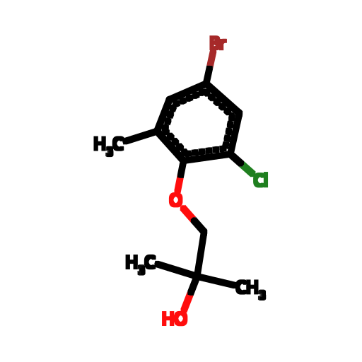 Cc1cc(Br)cc(Cl)c1OCC(C)(C)O